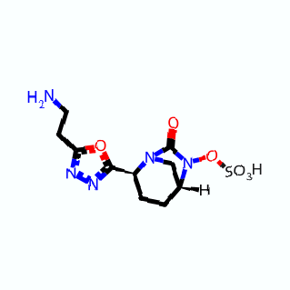 NCCc1nnc([C@@H]2CC[C@@H]3CN2C(=O)N3OS(=O)(=O)O)o1